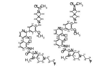 COc1cc(-c2nccc(-c3cccc(NC(=O)c4nc5c(n4C)CCN(CCCF)C5)c3Cl)c2Cl)ccc1CN1CC2(C1)CN(C(C)=O)C2.COc1cc(-c2nccc(-c3cccc(NC(=O)c4nc5c(n4C)CCN(CCCF)C5)c3Cl)c2Cl)ccc1CN1CC2(C1)CN(C(C)=O)C2